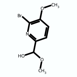 COc1ccc(C(O)OC)nc1Br